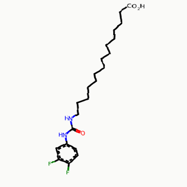 O=C(O)CCCCCCCCCCCCCCNC(=O)Nc1ccc(F)c(F)c1